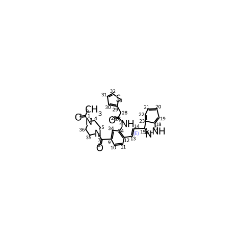 CC(=O)N1CCN(C(=O)c2ccc(/C=C/c3n[nH]c4ccccc34)c(NC(=O)Cc3cccs3)c2)CC1